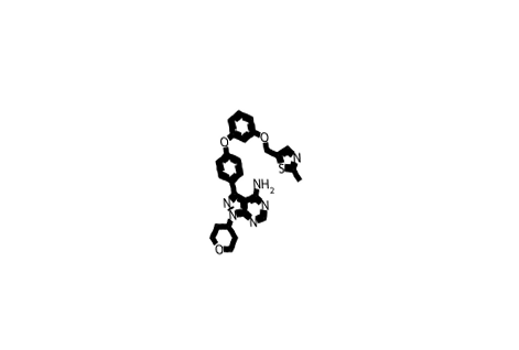 Cc1ncc(COc2cccc(Oc3ccc(-c4nn(C5CCOCC5)c5ncnc(N)c45)cc3)c2)s1